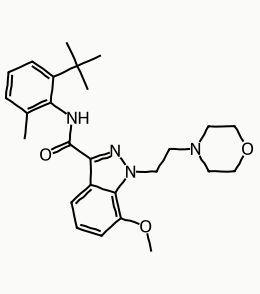 COc1cccc2c(C(=O)Nc3c(C)cccc3C(C)(C)C)nn(CCN3CCOCC3)c12